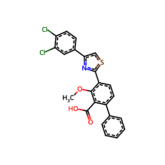 COc1c(-c2nc(-c3ccc(Cl)c(Cl)c3)cs2)ccc(-c2ccccc2)c1C(=O)O